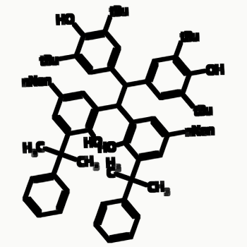 CCCCCCCCCc1cc(C(c2cc(CCCCCCCCC)cc(C(C)(C)c3ccccc3)c2O)C(c2cc(C(C)(C)C)c(O)c(C(C)(C)C)c2)c2cc(C(C)(C)C)c(O)c(C(C)(C)C)c2)c(O)c(C(C)(C)c2ccccc2)c1